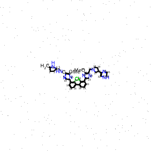 C=C1CC[C@@H](CNCc2ncc(-c3cccc(-c4cccc(-c5cnc(CN6CCC(C7=CNCC=N7)C6)c(OC)n5)c4Cl)c3Cl)nc2OC)N1